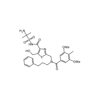 COc1cc(C(=O)N(CCCc2ccccc2)Cc2nc(C(=O)NS(=O)(=O)C(C)(C)N)c(CO)s2)cc(OC)c1C